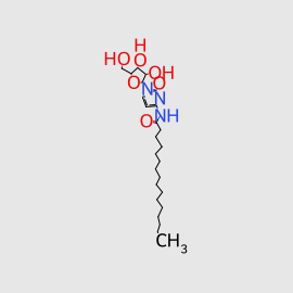 CCCCCCCCCCCCCCCC(=O)Nc1ccn(C2OC(CO)C(O)C2O)c(=O)n1